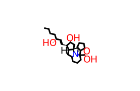 CCCC[C@@H](O)/C=C/[C@@H]1[C@H]2CC3CCCC(C(=O)O)(C4CCCC4)N3[C@@H]2C[C@H]1O